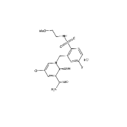 COCCNS(=O)(=O)c1ccc(F)cc1Cn1cc(Cl)cc(C(N)=O)c1=N.Cl